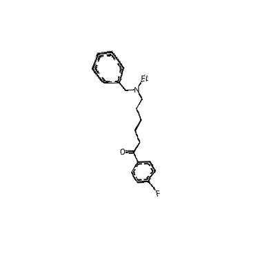 CCN(CCCCCC(=O)c1ccc(F)cc1)Cc1ccccc1